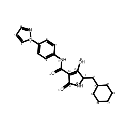 O=C(Nc1ccc(-n2cccn2)cc1)C1=C(O)C(CC2CCCCC2)NC1=O